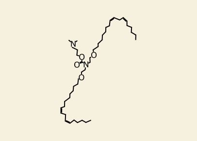 CCCCC/C=C\C/C=C\CCCCCCCCOCCN(CCOCCCCCCCC/C=C\C/C=C\CCCCC)C(=O)OCCCN(C)C